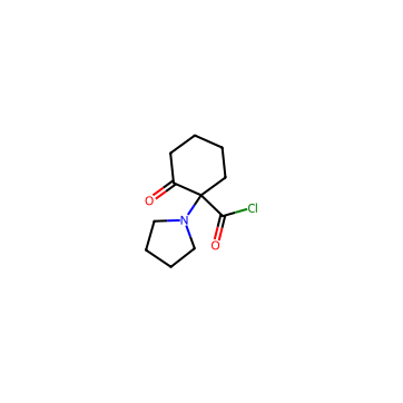 O=C(Cl)C1(N2CCCC2)CCCCC1=O